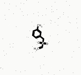 C=CS(=O)(=O)Cc1cccc(C)c1